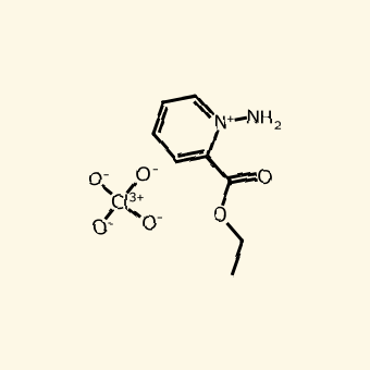 CCOC(=O)c1cccc[n+]1N.[O-][Cl+3]([O-])([O-])[O-]